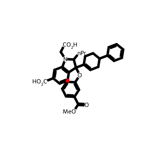 CCCC1N(CC(=O)O)c2cc(C(=O)O)ccc2C1(Oc1cccc(C(=O)OC)c1)C1=CCC(c2ccccc2)CC1